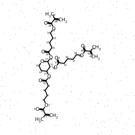 C=C(C)C(=O)OCCCCC(=O)OC1CCOC(OC(=O)CCCCOC(=O)C(=C)C)[C@@H]1OC(=O)CCCCOC(=O)C(=C)C